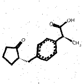 C[C@H](C(=O)O)c1ccc(C[C@@H]2CCCC2=O)cc1